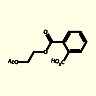 CC(=O)OCCOC(=O)c1ccccc1C(=O)O